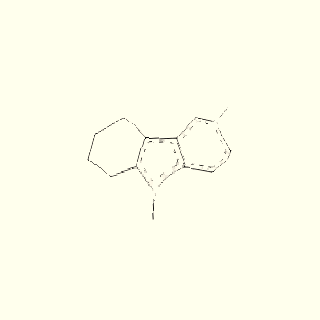 Cn1c2c(c3c[n+](C)ccc31)CCCC2